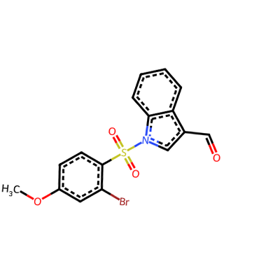 COc1ccc(S(=O)(=O)n2cc(C=O)c3ccccc32)c(Br)c1